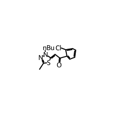 CCCCN1N=C(C)SC1=CC(=O)c1ccccc1Cl